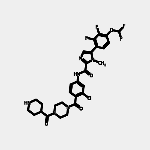 Cn1c(-c2ccc(OC(F)F)c(F)c2F)cnc1C(=O)Nc1ccc(C(=O)N2CCN(C(=O)C3CCNCC3)CC2)c(Cl)c1